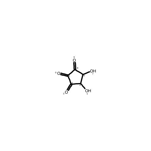 O=C1C(=O)C(O)C(O)C1=O